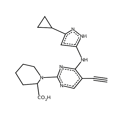 C#Cc1cnc(N2CCCCC2C(=O)O)nc1Nc1cc(C2CC2)n[nH]1